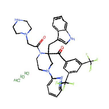 Cl.Cl.Cl.O=C(CN1CCNCC1)N1CCN(c2ccccn2)CC1(Cc1c[nH]c2ccccc12)C(=O)c1cc(C(F)(F)F)cc(C(F)(F)F)c1